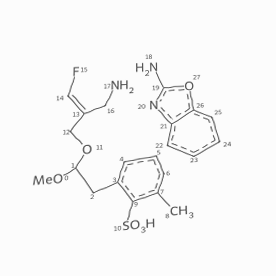 COC(Cc1cccc(C)c1S(=O)(=O)O)OCC(=CF)CN.Nc1nc2ccccc2o1